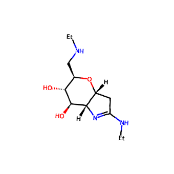 CCNC[C@H]1O[C@@H]2CC(NCC)=N[C@@H]2[C@@H](O)[C@@H]1O